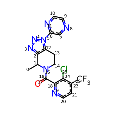 CC1c2nnn(-c3cnccn3)c2CCN1C(=O)c1nccc(C(F)(F)F)c1Cl